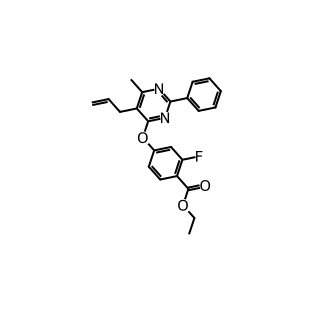 C=CCc1c(C)nc(-c2ccccc2)nc1Oc1ccc(C(=O)OCC)c(F)c1